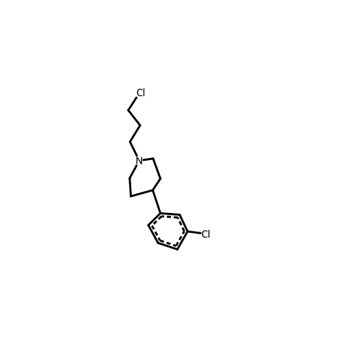 ClCCCN1CCC(c2cccc(Cl)c2)CC1